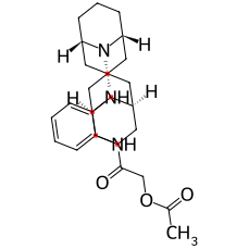 CC(=O)OCC(=O)Nc1ccccc1N[C@H]1C[C@H]2CCC[C@@H](C1)N2[C@H]1C[C@@H]2CCC[C@@H](C2)C1